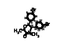 C[C@H]1O[C@@H](c2ccc(Br)cc2)[C@@H](c2ccc(Br)cc2)N(C)C1=O